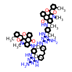 Cc1cccc(C(=O)c2c3c4c(c(Nc5cc(Nc6nc(N)nc(NC7CCC(CC8CCC(Nc9nc(N)nc(Nc%10cc(Nc%11ccc%12c%13c%11C(=O)c%11ccccc%11-c%13c(C(=O)c%11cccc(C)c%11)c(=O)n%12C)c(C)cc%10C)n9)CC8)CC7)n6)c(C)cc5C)ccc4n(C)c2=O)C(=O)c2ccccc2-3)c1